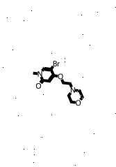 Cn1cc(Br)c(OCCN2CCOCC2)cc1=O